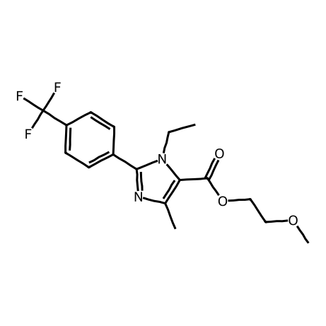 CCn1c(-c2ccc(C(F)(F)F)cc2)nc(C)c1C(=O)OCCOC